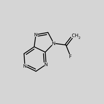 C=C(F)n1cnc2cncnc21